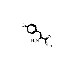 NC(=O)C(N)CC1=CCC(O)C=C1